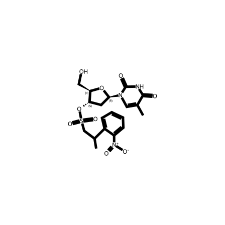 Cc1cn([C@H]2C[C@H](OS(=O)(=O)CC(C)c3ccccc3[N+](=O)[O-])[C@@H](CO)O2)c(=O)[nH]c1=O